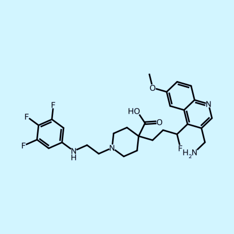 COc1ccc2ncc(CN)c(C(F)CCC3(C(=O)O)CCN(CCNc4cc(F)c(F)c(F)c4)CC3)c2c1